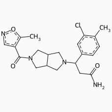 Cc1ccc(C(CC(N)=O)N2CC3CN(C(=O)c4cnoc4C)CC3C2)cc1Cl